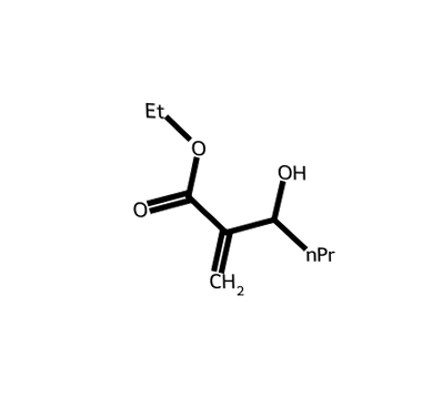 C=C(C(=O)OCC)C(O)CCC